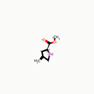 C=C1CP[C@H](C(=O)OC)C1